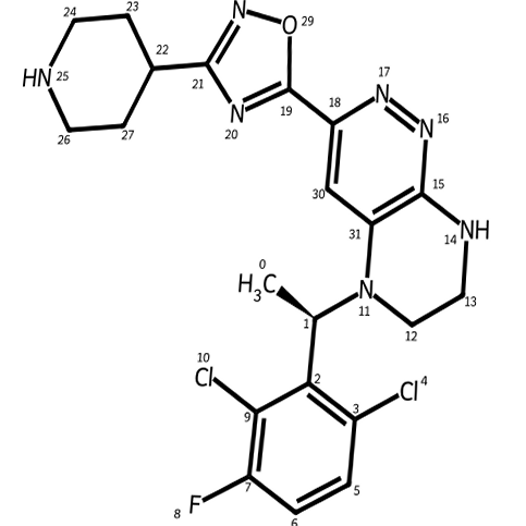 C[C@H](c1c(Cl)ccc(F)c1Cl)N1CCNc2nnc(-c3nc(C4CCNCC4)no3)cc21